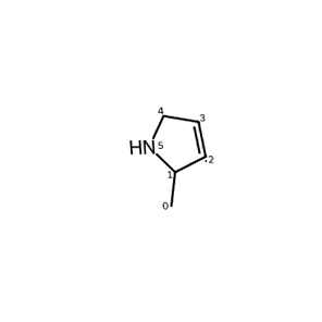 CC1[C]=CCN1